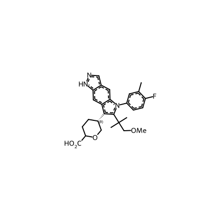 COCC(C)(C)c1c([C@H]2CCC(C(=O)O)OC2)c2cc3[nH]ncc3cc2n1-c1ccc(F)c(C)c1